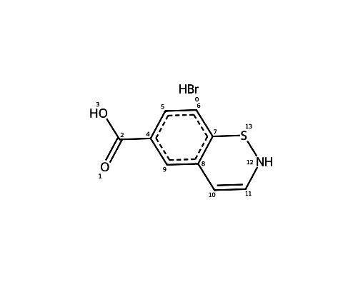 Br.O=C(O)c1ccc2c(c1)C=CNS2